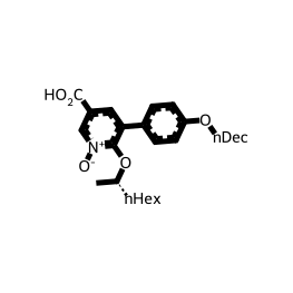 CCCCCCCCCCOc1ccc(-c2cc(C(=O)O)c[n+]([O-])c2O[C@@H](C)CCCCCC)cc1